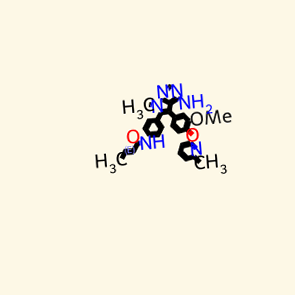 C/C=C/C(=O)Nc1ccc(-c2c(-c3ccc(Oc4cccc(C)n4)c(OC)c3)c3c(N)ncnc3n2C)cc1